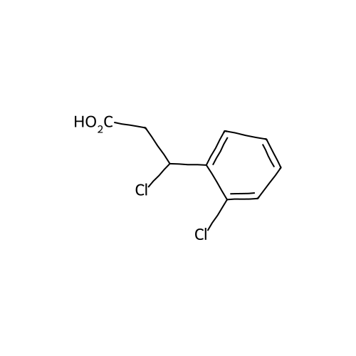 O=C(O)CC(Cl)c1ccccc1Cl